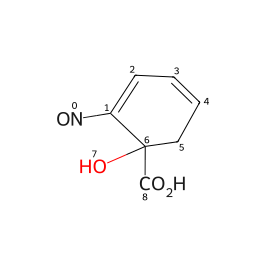 O=NC1=CC=CCC1(O)C(=O)O